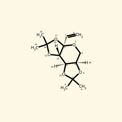 C=C[C@]12OC[C@H]3OC(C)(C)O[C@H]3[C@@H]1OC(C)(C)O2